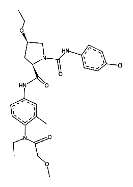 CCO[C@@H]1C[C@H](C(=O)Nc2ccc(N(CC)C(=O)COC)c(C)c2)N(C(=O)Nc2ccc(Cl)cc2)C1